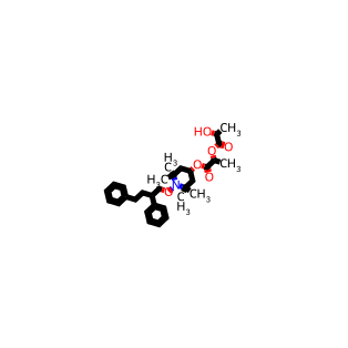 CC(O)C(=O)OC(C)C(=O)OC1CC(C)(C)N(OCC(CCc2ccccc2)c2ccccc2)C(C)(C)C1